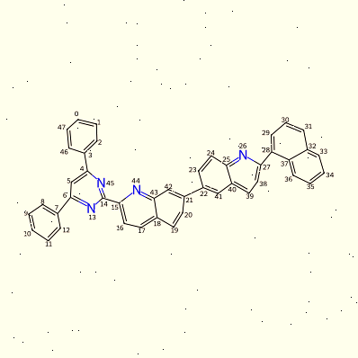 c1ccc(-c2cc(-c3ccccc3)nc(-c3ccc4ccc(-c5ccc6nc(-c7cccc8ccccc78)ccc6c5)cc4n3)n2)cc1